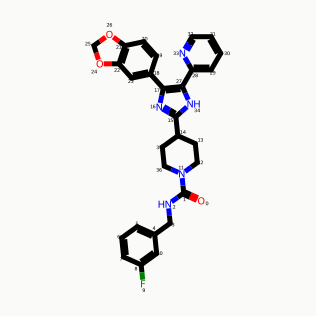 O=C(NCc1cccc(F)c1)N1CCC(c2nc(-c3ccc4c(c3)OCO4)c(-c3ccccn3)[nH]2)CC1